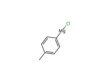 Cc1cc[c]([Mg][Cl])cc1